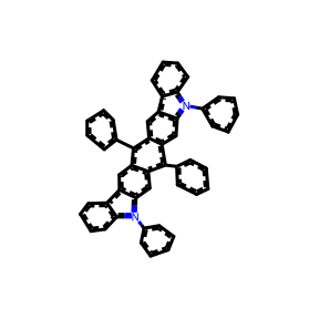 c1ccc(-c2c3cc4c5ccccc5n(-c5ccccc5)c4cc3c(-c3ccccc3)c3cc4c(cc23)c2ccccc2n4-c2ccccc2)cc1